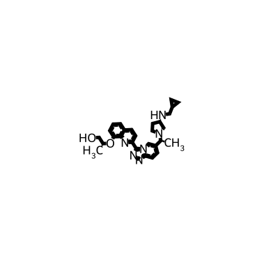 C[C@H](CO)Oc1cccc2ccc(-c3nnc4ccc([C@H](C)N5CC[C@H](NCC6CC6)C5)cn34)nc12